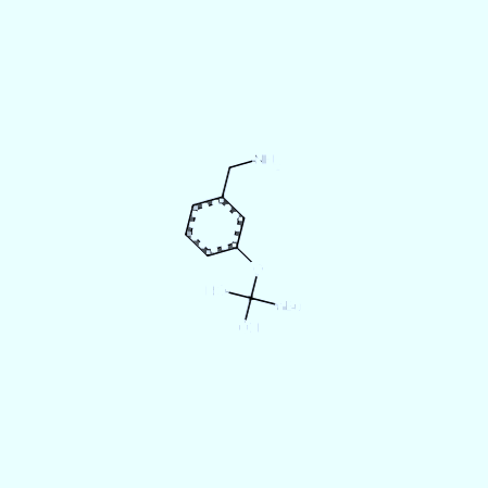 CC[CH]CC(O)(O)Oc1cccc(CN)c1